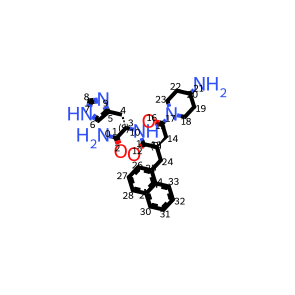 NC(=O)[C@H](Cc1c[nH]cn1)NC(=O)[C@@H](CC(=O)N1CCC(N)CC1)Cc1cccc2ccccc12